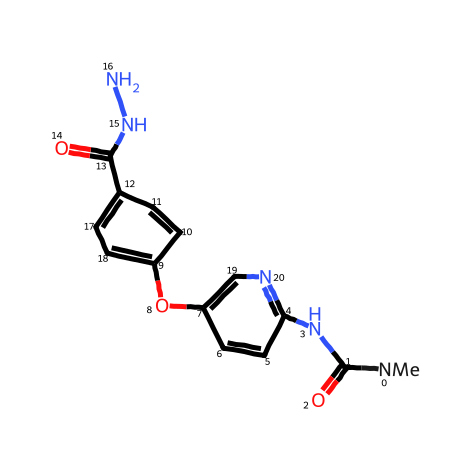 CNC(=O)Nc1ccc(Oc2ccc(C(=O)NN)cc2)cn1